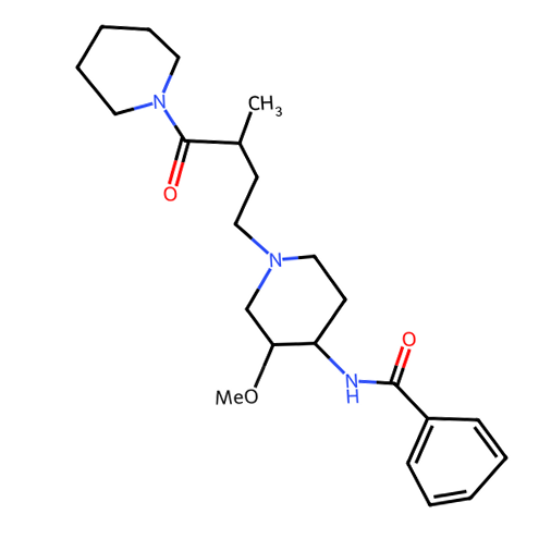 COC1CN(CCC(C)C(=O)N2CCCCC2)CCC1NC(=O)c1ccccc1